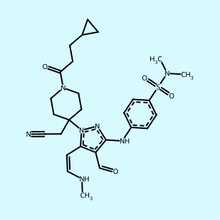 CN/C=C\c1c(C=O)c(Nc2ccc(S(=O)(=O)N(C)C)cc2)nn1C1(CC#N)CCN(C(=O)CCC2CC2)CC1